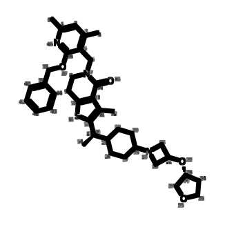 Cc1cc(C)c(CN2CCc3sc([C@H](C)C4CCC(N5CC(O[C@@H]6CCOC6)C5)CC4)c(C)c3C2=O)c(OCc2ccccc2)n1